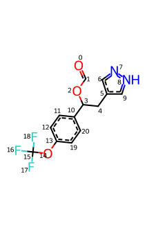 O=COC(Cc1cn[nH]c1)c1ccc(OC(F)(F)F)cc1